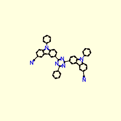 N#Cc1ccc2c(c1)c1cc(-c3nc(-c4ccccc4)nc(-c4ccc5c(c4)c4cc(C#N)ccc4n5-c4ccccc4)n3)ccc1n2-c1ccccc1